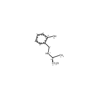 CCOC(=O)[C@H](C)NCc1ccccc1O